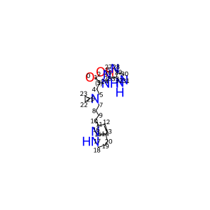 O=C(O)[C@H](CCN(CCCCc1ccc2c(n1)NCCC2)C1CC1)Nc1ncnc2cn[nH]c12